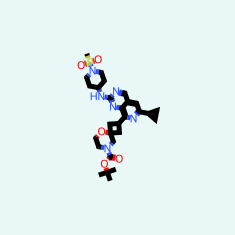 CC(C)(C)OC(=O)N1CCOC2(CC(c3nc(C4CC4)cc4cnc(NC5CCN(S(C)(=O)=O)CC5)nc34)C2)C1